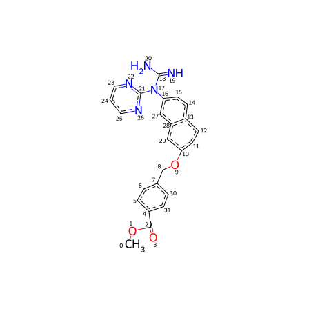 COC(=O)c1ccc(COc2ccc3ccc(N(C(=N)N)c4ncccn4)cc3c2)cc1